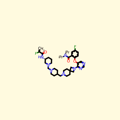 C=C(F)C(=O)N[C@@H]1CCCN(CN2CCC(CN3CCC4(CC3)CN(c3ncncc3Oc3ccc(F)cc3C(=O)N(C(C)C)C(C)C)C4)CC2)C1